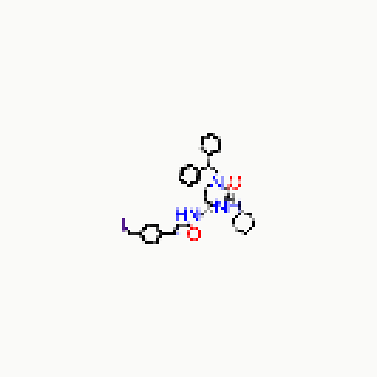 O=C(/C=C/c1ccc(CI)cc1)NC[C@@H]1CCN(CC(c2ccccc2)c2ccccc2)C(=O)[C@H](CC2CCCCC2)N1